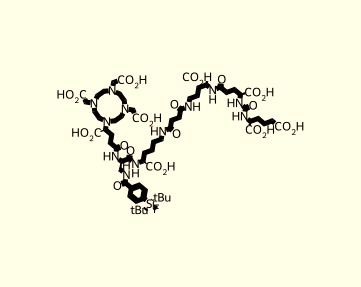 CC(C)(C)[Si](F)(c1ccc(C(=O)NC[C@@H](NC(=O)CC[C@H](C(=O)O)N2CCN(CC(=O)O)CCN(CC(=O)O)CCN(CC(=O)O)CC2)C(=O)N[C@H](CCCCNC(=O)CCC(=O)NCCC[C@H](NC(=O)CC[C@H](NC(=O)N[C@@H](CCCC(=O)O)C(=O)O)C(=O)O)C(=O)O)C(=O)O)cc1)C(C)(C)C